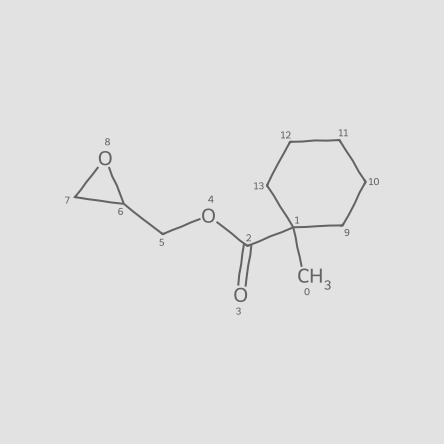 CC1(C(=O)OCC2CO2)CCCCC1